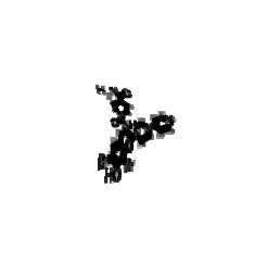 NC(=O)C1CCN(C(=O)N[C@H](Cc2cc(Br)c(O)c(Br)c2)C(=O)N2CCN(c3ccncc3)CC2)CC1